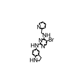 Brc1cnc(Nc2ccc3c(c2)CCN3)nc1NCc1ccccn1